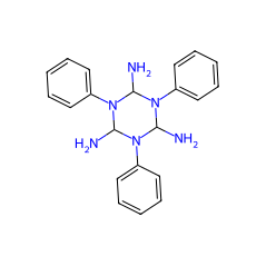 NC1N(c2ccccc2)C(N)N(c2ccccc2)C(N)N1c1ccccc1